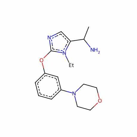 CCn1c(C(C)N)cnc1Oc1cccc(N2CCOCC2)c1